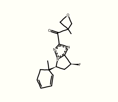 CC1(C(=O)c2nc3n(n2)[C@H](C2(C)C=CC=CC2)C[C@@H]3F)COC1